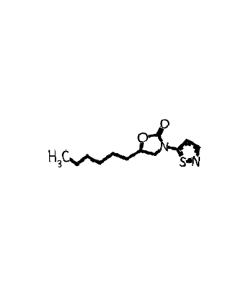 CCCCCCC1CN(c2ccns2)C(=O)O1